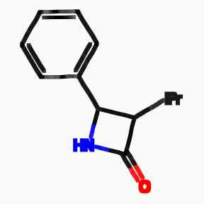 CC(C)C1C(=O)NC1c1ccccc1